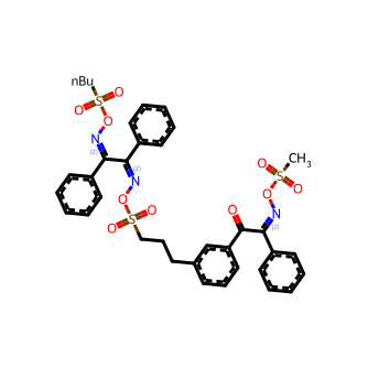 CCCCS(=O)(=O)O/N=C(\C(=N/OS(=O)(=O)CCCc1cccc(C(=O)/C(=N\OS(C)(=O)=O)c2ccccc2)c1)c1ccccc1)c1ccccc1